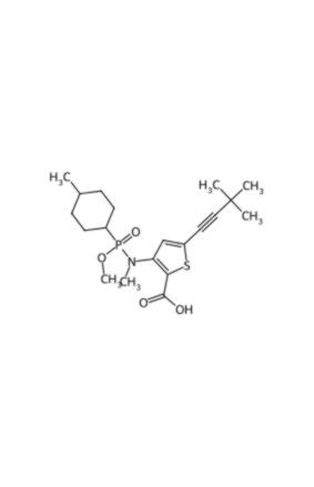 COP(=O)(C1CCC(C)CC1)N(C)c1cc(C#CC(C)(C)C)sc1C(=O)O